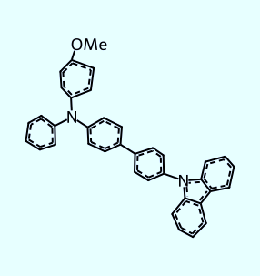 COc1ccc(N(c2ccccc2)c2ccc(-c3ccc(-n4c5ccccc5c5ccccc54)cc3)cc2)cc1